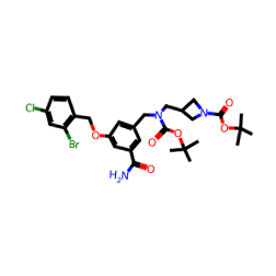 CC(C)(C)OC(=O)N(Cc1cc(OCc2ccc(Cl)cc2Br)cc(C(N)=O)c1)CC1CN(C(=O)OC(C)(C)C)C1